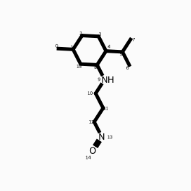 CC1CCC(C(C)C)C(NCCCN=O)C1